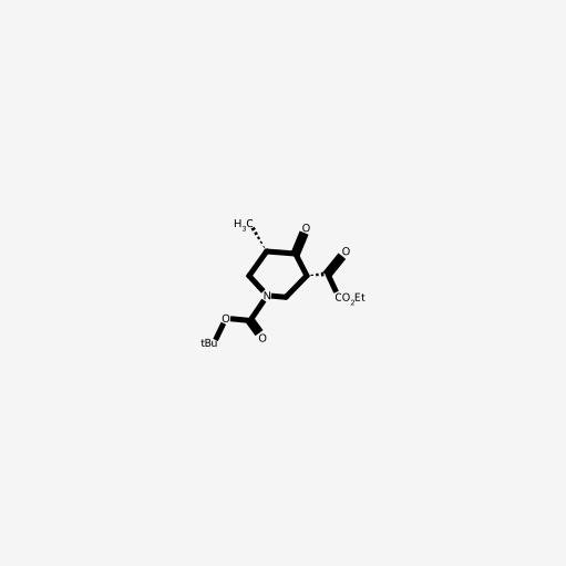 CCOC(=O)C(=O)[C@@H]1CN(C(=O)OC(C)(C)C)C[C@H](C)C1=O